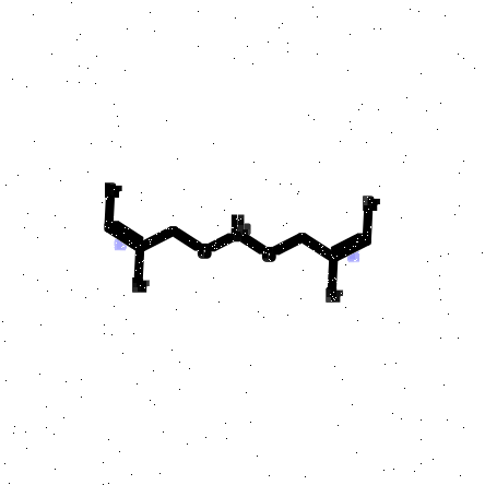 Br/C=C(/Br)CO[SiH2]OC/C(Br)=C\Br